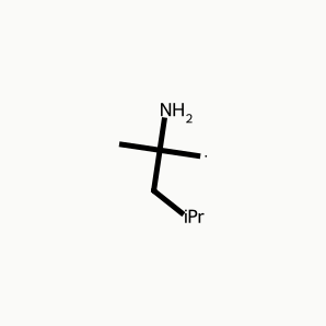 [CH2]C(C)(N)CC(C)C